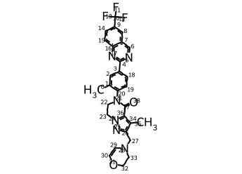 Cc1cc(-c2ncc3cc(C(F)(F)F)ccc3n2)ccc1N1CCn2nc(CN3C=COCC3)c(C)c2C1=O